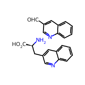 N[C@@H](Cc1cnc2ccccc2c1)C(=O)O.O=Cc1cnc2ccccc2c1